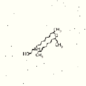 C=C(CCCCCCCNCCO)OC(CC)CCCCCCCC